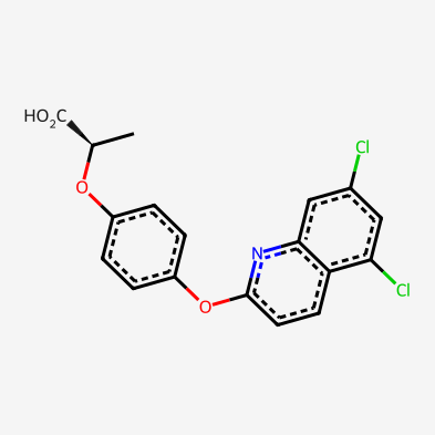 C[C@@H](Oc1ccc(Oc2ccc3c(Cl)cc(Cl)cc3n2)cc1)C(=O)O